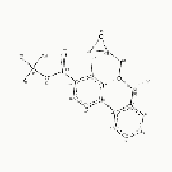 Cc1cc(-c2ccccc2[C@@H](C)OCC2CO2)ccc1C(=O)OC(C)(C)C